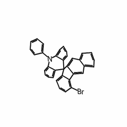 Brc1cccc2c1-c1cc3ccccc3cc1C21c2ccccc2N(c2ccccc2)c2ccccc21